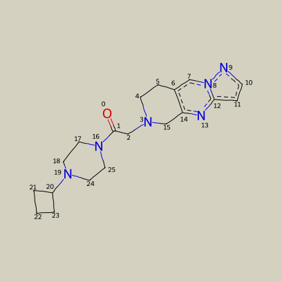 O=C(CN1CCc2cn3nccc3nc2C1)N1CCN(C2CCC2)CC1